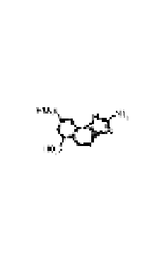 Nc1nc2c(ccc3c(S(=O)(=O)O)cc(S(=O)(=O)O)cc32)s1